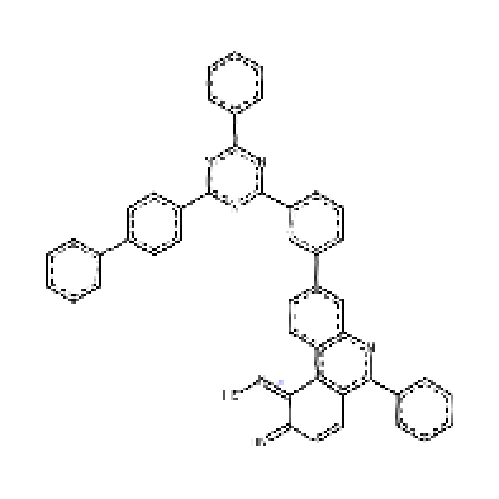 N=C1C=Cc2c(-c3ccccc3)nc3cc(-c4cccc(-c5nc(-c6ccccc6)nc(-c6ccc(-c7ccccc7)cc6)n5)c4)ccc3c2/C1=N/S